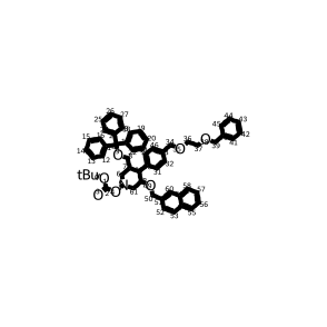 CC(C)(C)OC(=O)ON1CC(COC(c2ccccc2)(c2ccccc2)c2ccccc2)C(c2ccc(COCCOCc3ccccc3)cc2)C(OCc2ccc3ccccc3c2)C1